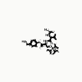 CC(C)C(NC(=O)O)C(=O)NC(CO[Si](C(C)C)(C(C)C)C(C)C)C(=O)Nc1ccc(CO)cc1